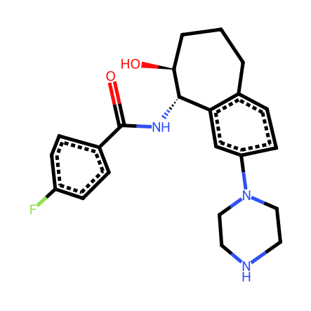 O=C(N[C@H]1c2cc(N3CCNCC3)ccc2CCC[C@@H]1O)c1ccc(F)cc1